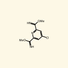 COC(=N)c1cc(Cl)cc(C(=N)OC)n1